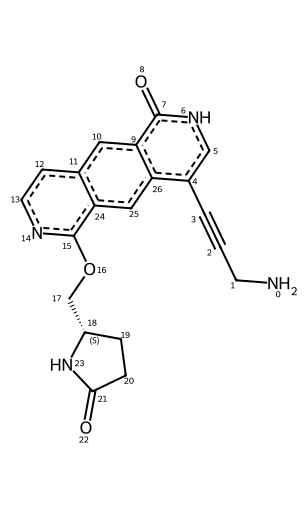 NCC#Cc1c[nH]c(=O)c2cc3ccnc(OC[C@@H]4CCC(=O)N4)c3cc12